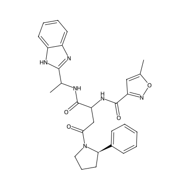 Cc1cc(C(=O)NC(CC(=O)N2CCC[C@@H]2c2ccccc2)C(=O)NC(C)c2nc3ccccc3[nH]2)no1